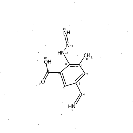 Cc1cc(C=N)cc(C(=O)O)c1NN=N